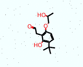 CC(O)COc1ccc(C(C)(C)C)c(O)c1CC=O